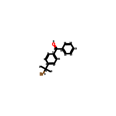 CC(C)(Br)c1ccc(C(=O)c2ccccc2)cc1